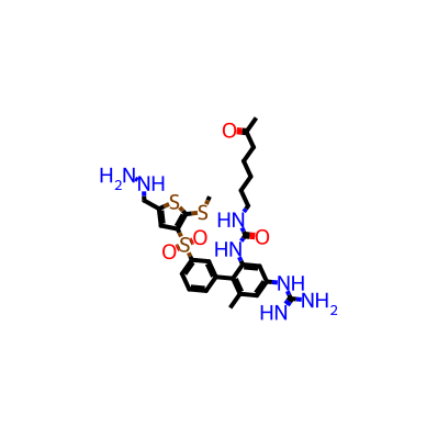 CSc1sc(CNN)cc1S(=O)(=O)c1cccc(-c2c(C)cc(NC(=N)N)cc2NC(=O)NCCCCCC(C)=O)c1